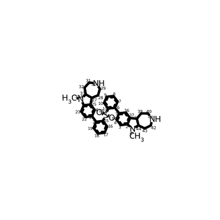 CN1c2ccc(-c3ccccc3S(=O)(=O)c3ccccc3-c3ccc4c(c3)C3CCNCCC3N4C)cc2C2CCNCCC21